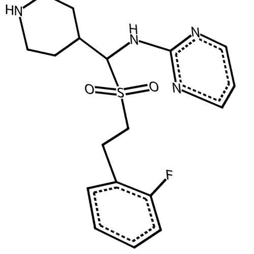 O=S(=O)(CCc1ccccc1F)C(Nc1ncccn1)C1CCNCC1